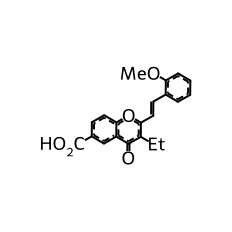 CCc1c(/C=C/c2ccccc2OC)oc2ccc(C(=O)O)cc2c1=O